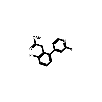 COC(=O)Cc1c(-c2ccnc(F)c2)cccc1C(C)C